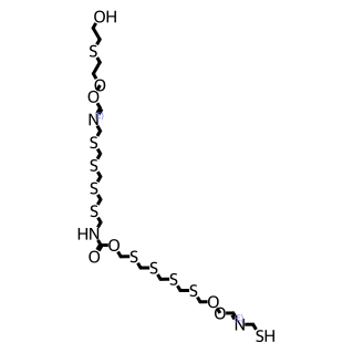 O=C(NCSCSCSCSC/N=C/OOCCSCCO)OCSCSCSCSCOO/C=N/CS